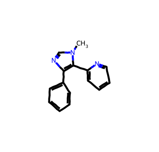 Cn1cnc(-c2ccccc2)c1-c1ccccn1